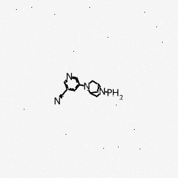 N#Cc1cncc(N2CC3CC2CN3P)c1